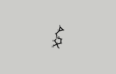 CC1(I)CCN(CC2CC2)C1